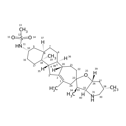 CC1=C2C[C@H]3[C@@H](CC[C@@H]4C[C@@H](NS(C)(=O)=O)CC[C@@]43C)[C@@H]2CCC2(C1)O[C@@H]1C[C@H](C)CN[C@H]1[C@H]2C